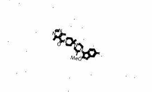 COC1Cc2cc(C)ccc2C1N1CCN(C2(C)CCN(C(=O)c3c(C)ncnc3C)CC2)C[C@@H]1C